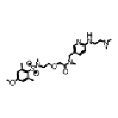 COc1cc(C)c(S(=O)(=O)N(C)CCOCC(=O)N(C)Cc2ccc(NCCN(C)C)nc2)c(C)c1